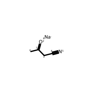 CC(=O)CC#N.[Na]